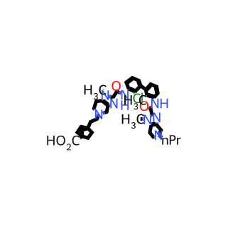 CCCN1CCc2c(nc(C(=O)Nc3cccc(-c4cccc(NC(=O)c5nc6c(n5C)CCN(CCC57CCC(C(=O)O)(CC5)C7)C6)c4Cl)c3C)n2C)C1